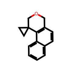 c1ccc2c3c(ccc2c1)COCC31CC1